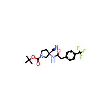 CC(C)(C)OC(=O)N1CCC(C#N)(NC(=O)Cc2ccc(C(F)(F)F)cc2)C1